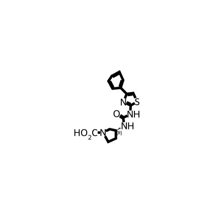 O=C(Nc1nc(-c2ccccc2)cs1)N[C@@H]1CCN(C(=O)O)C1